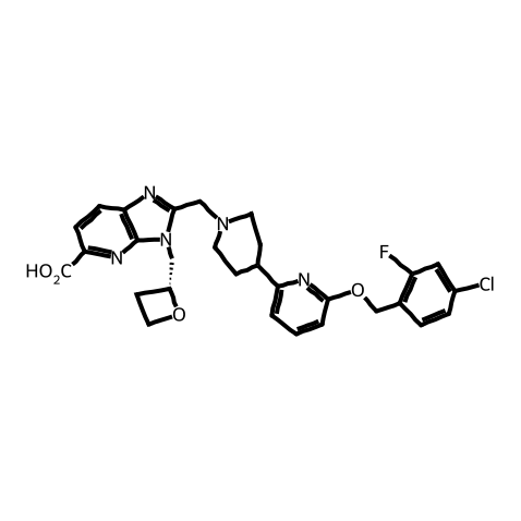 O=C(O)c1ccc2nc(CN3CCC(c4cccc(OCc5ccc(Cl)cc5F)n4)CC3)n(C[C@H]3CCO3)c2n1